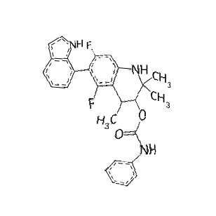 CC1c2c(cc(F)c(-c3cccc4cc[nH]c34)c2F)NC(C)(C)C1OC(=O)Nc1ccccc1